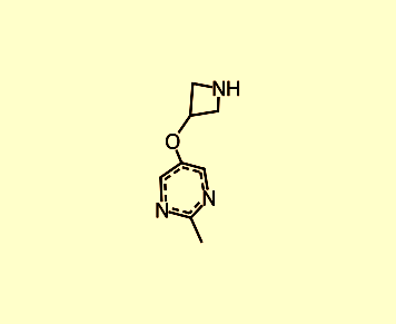 Cc1ncc(OC2CNC2)cn1